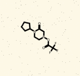 O=C1CN(OC(=O)C(F)(F)F)CCN1C1CCCC1